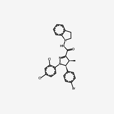 C[C@@H]1C(C(=O)NN2CCc3ccccc32)=NN(c2ccc(Cl)cc2Cl)[C@@H]1c1ccc(Br)cc1